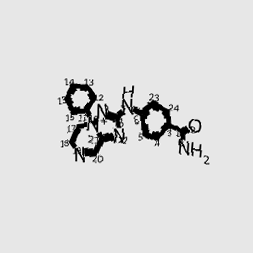 NC(=O)c1ccc(NC2=N[N+]3(c4ccccc4)C=CN=CC3=N2)cc1